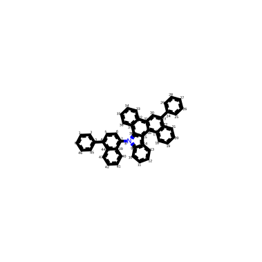 c1ccc(-c2ccc(-n3c4ccccc4c4c5c6ccccc6c(-c6ccccc6)cc5c5ccccc5c43)c3ccccc23)cc1